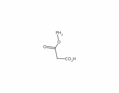 O=C(O)CC(=O)OP